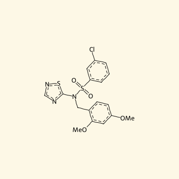 COc1ccc(CN(c2ncns2)S(=O)(=O)c2cccc(Cl)c2)c(OC)c1